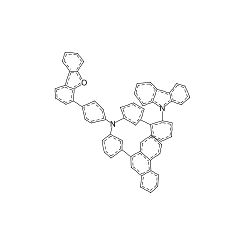 c1cc(-c2ccccc2-n2c3ccccc3c3ccccc32)cc(N(c2ccc(-c3cccc4c3oc3ccccc34)cc2)c2cccc(-c3cc4ccccc4c4ccccc34)c2)c1